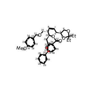 CCC1(CC)OC[C@H](C/C=C\[C@@H](COCc2ccc(OC)cc2)[C@H](CCOCc2ccccc2)OC(=O)c2ccccc2)O1